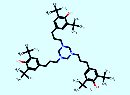 CC(C)(C)c1cc(CCCN2CN(CCCc3cc(C(C)(C)C)c(O)c(C(C)(C)C)c3)CN(CCCc3cc(C(C)(C)C)c(O)c(C(C)(C)C)c3)C2)cc(C(C)(C)C)c1O